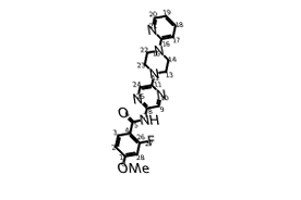 COc1ccc(C(=O)Nc2cnc(N3CCN(c4ccccn4)CC3)cn2)c(F)c1